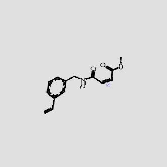 C=Cc1cccc(CNC(=O)/C=C\C(=O)OC)c1